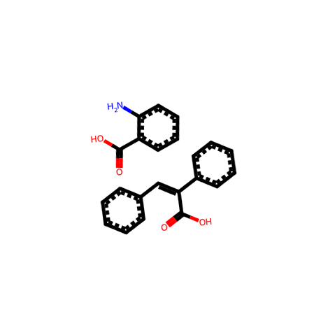 Nc1ccccc1C(=O)O.O=C(O)C(=Cc1ccccc1)c1ccccc1